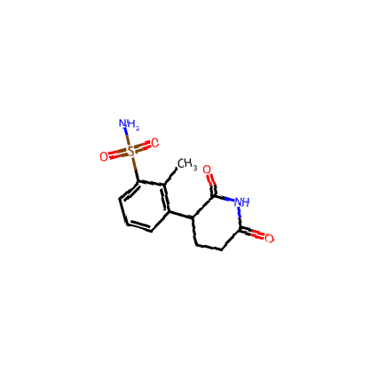 Cc1c(C2CCC(=O)NC2=O)cccc1S(N)(=O)=O